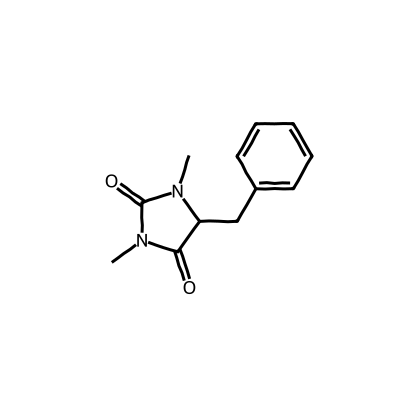 CN1C(=O)C(Cc2ccccc2)N(C)C1=O